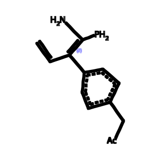 C=C/C(=C(\N)P)c1ccc(CC(C)=O)cc1